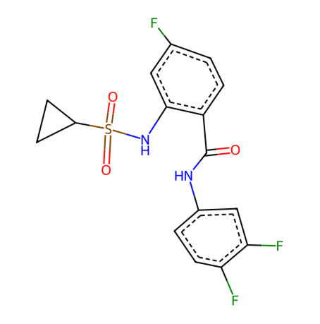 O=C(Nc1ccc(F)c(F)c1)c1ccc(F)cc1NS(=O)(=O)C1CC1